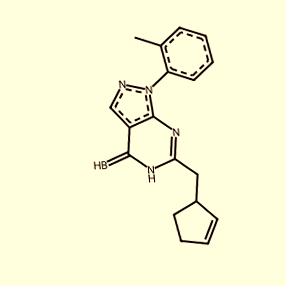 B=C1NC(CC2C=CCC2)=Nc2c1cnn2-c1ccccc1C